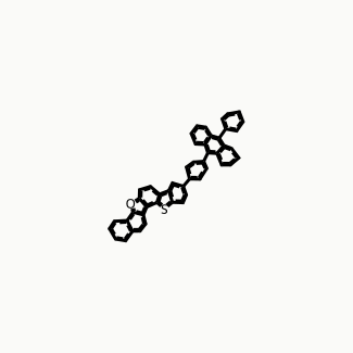 c1ccc(-c2c3ccccc3c(-c3ccc(-c4ccc5sc6c(ccc7oc8c9ccccc9ccc8c76)c5c4)cc3)c3ccccc23)cc1